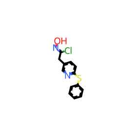 ON=C(Cl)Cc1ccc(Sc2ccccc2)nc1